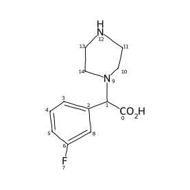 O=C(O)C(c1cccc(F)c1)N1CCNCC1